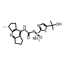 C[C@@H]1CCc2c1nc1c(c2NC(=O)N=[S@@](N)(=O)c2ncc(C(C)(C)O)s2)CCC1